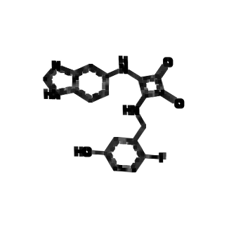 O=c1c(NCc2cc(O)ccc2F)c(Nc2ccc3[nH]cnc3c2)c1=O